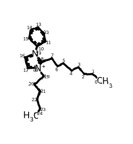 CCCCCCCCc1n(-c2ccccc2)cc[n+]1CCCCCC